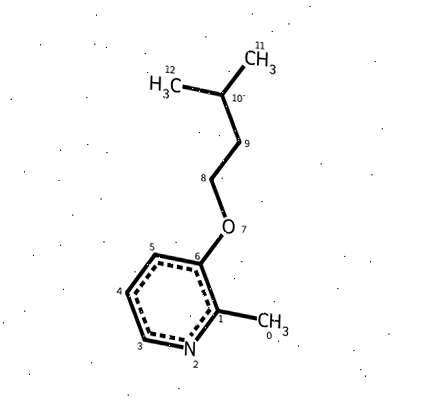 Cc1ncccc1OCCC(C)C